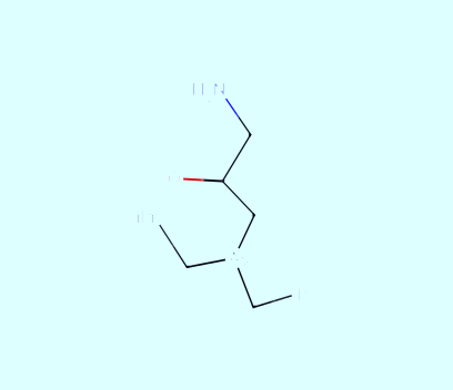 CC(C)C[As](CC(C)C)CC(O)CN